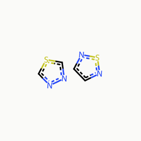 c1cnsn1.c1nncs1